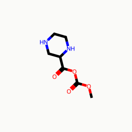 COC(=O)OC(=O)C1CNCCN1